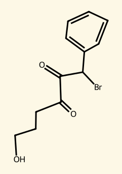 O=C(CCCO)C(=O)C(Br)c1ccccc1